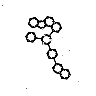 c1ccc(-c2nc(-c3ccc(-c4ccc5ccccc5c4)cc3)nc(-c3cccc4ccc5c6ccccc6sc5c34)n2)cc1